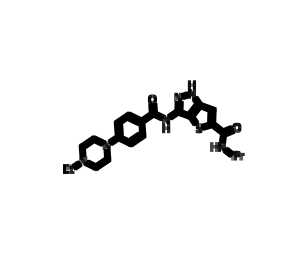 CCN1CCN(c2ccc(C(=O)Nc3n[nH]c4cc(C(=O)NC(C)C)sc34)cc2)CC1